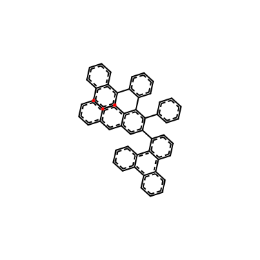 c1ccc(-c2c(-c3cccc4c5ccccc5c5ccccc5c34)cc3cc4ccccc4cc3c2-c2ccccc2-c2cccc3ccccc23)cc1